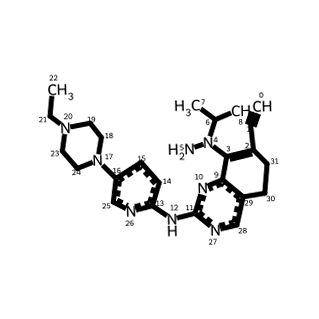 C#CC1=C(N(N)C(C)C)c2nc(Nc3ccc(N4CCN(CC)CC4)cn3)ncc2CC1